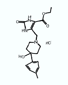 CCOC(=O)c1[nH]c(=O)[nH]c1CN1CCC(O)(c2ccc(C)cc2)CC1.Cl